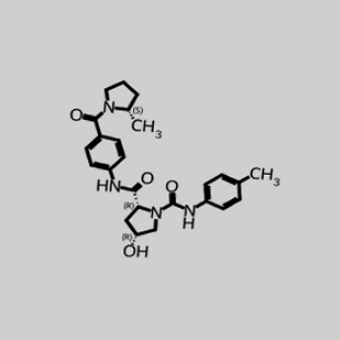 Cc1ccc(NC(=O)N2C[C@H](O)C[C@@H]2C(=O)Nc2ccc(C(=O)N3CCC[C@@H]3C)cc2)cc1